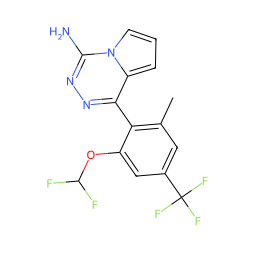 Cc1cc(C(F)(F)F)cc(OC(F)F)c1-c1nnc(N)n2cccc12